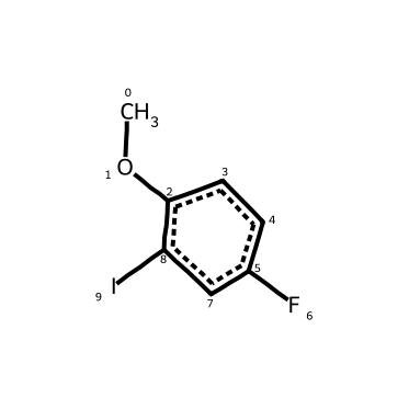 COc1ccc(F)cc1I